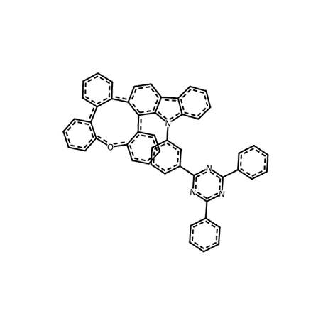 c1ccc(-c2nc(-c3ccccc3)nc(-c3cccc(-n4c5ccccc5c5ccc6c7ccccc7c7ccccc7oc7ccccc7c6c54)c3)n2)cc1